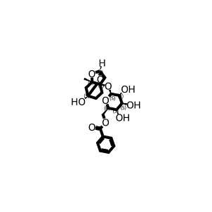 C[C@]12C[C@]3(O)CC[C@@]1(O[C@@H]1O[C@H](COC(=O)c4ccccc4)[C@@H](O)[C@H](O)[C@H]1O)C[C@@H](O3)O2